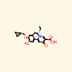 CC[C@H]1Cc2cc(OCC3CC3)c(OC)cc2-c2cc(=O)c(C(=O)O)cn21